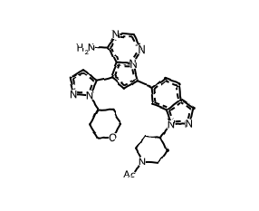 CC(=O)N1CCC(n2ncc3ccc(-c4cc(-c5ccnn5C5CCOCC5)c5c(N)ncnn45)cc32)CC1